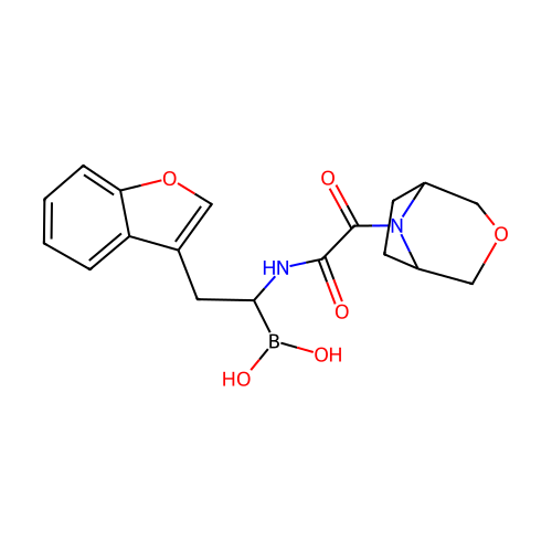 O=C(NC(Cc1coc2ccccc12)B(O)O)C(=O)N1C2CCC1COC2